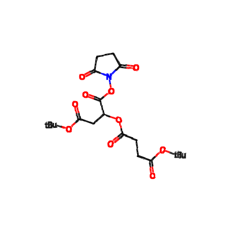 CC(C)(C)OC(=O)CCC(=O)OC(CC(=O)OC(C)(C)C)C(=O)ON1C(=O)CCC1=O